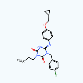 CCOC(=O)CCn1c(=O)[nH]/c(=N\c2ccc(OCC3CC3)cc2)n(Cc2ccc(Cl)cc2)c1=O